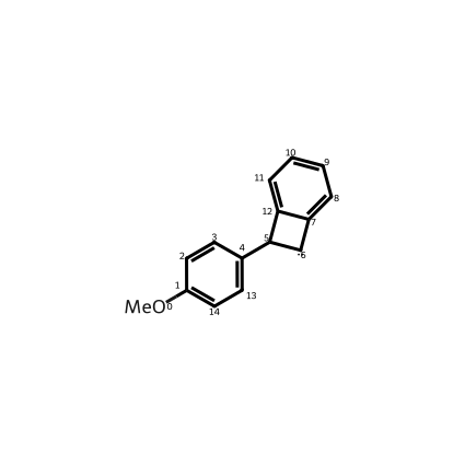 COc1ccc(C2[C]c3ccccc32)cc1